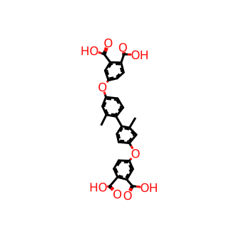 Cc1cc(Oc2ccc(C(=O)O)c(C(=O)O)c2)ccc1-c1ccc(Oc2ccc(C(=O)O)c(C(=O)O)c2)cc1C